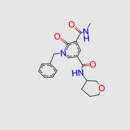 CNC(=O)c1cc(C(=O)NC2CCCOC2)cn(Cc2ccccc2)c1=O